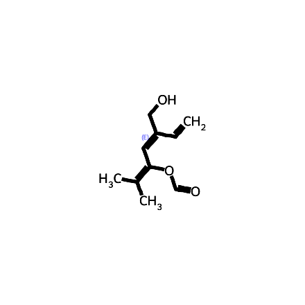 C=C/C(=C\C(OC=O)=C(C)C)CO